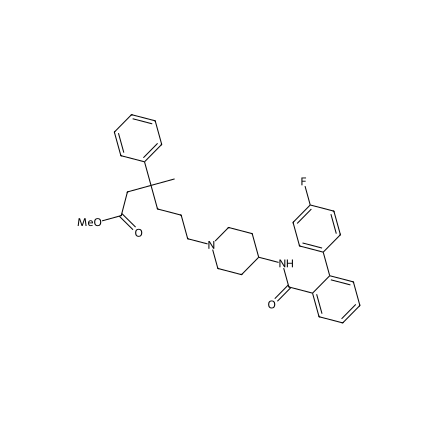 COC(=O)CC(C)(CCCN1CCC(NC(=O)c2ccccc2-c2ccc(F)cc2)CC1)c1ccccc1